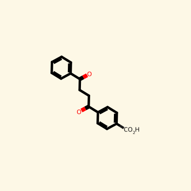 O=C(O)c1ccc(C(=O)CCC(=O)c2ccccc2)cc1